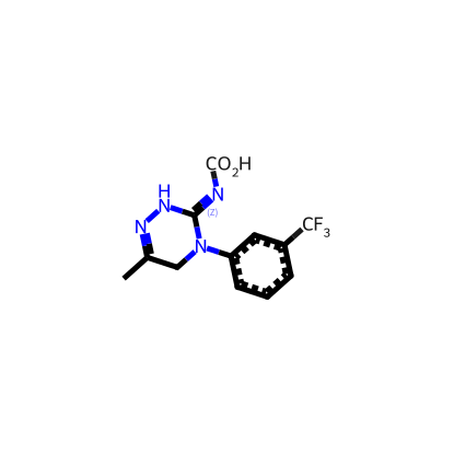 CC1=NN/C(=N\C(=O)O)N(c2cccc(C(F)(F)F)c2)C1